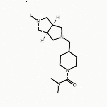 CN(C)C(=O)N1CCC(CN2C[C@H]3CN(I)C[C@H]3C2)CC1